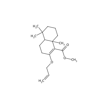 C=CCOC1=C(C(=O)OC)C2(C)CCCC(C)(C)C2CC1